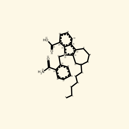 CCCCCCC1CCCc2c(n(Cc3ccccc3C(N)=O)c3c(C(=O)O)cccc23)C1